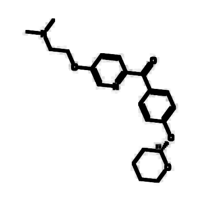 CN(C)CCOc1ccc(C(=O)c2ccc(O[C@H]3CCCCO3)cc2)nc1